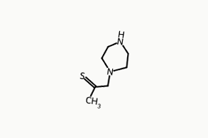 CC(=S)CN1CCNCC1